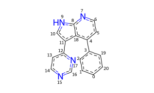 c1ccc(-c2ccnc3[nH]cc(-c4ccncn4)c23)cc1